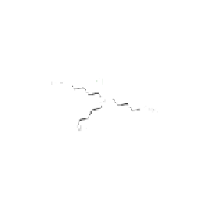 CCCCCCCCCCCCC[CH2][Sn+]([CH2]CCCCCCCCCCCCC)[CH2]CCCCCCCCCCCCC.[Cl-]